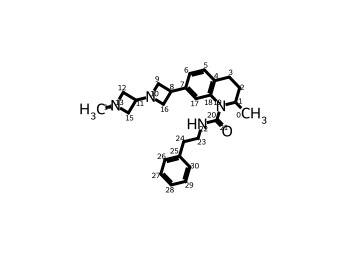 CC1CCc2ccc(C3CN(C4CN(C)C4)C3)cc2N1C(=O)NCCc1ccccc1